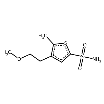 COCCc1cc(S(N)(=O)=O)sc1C